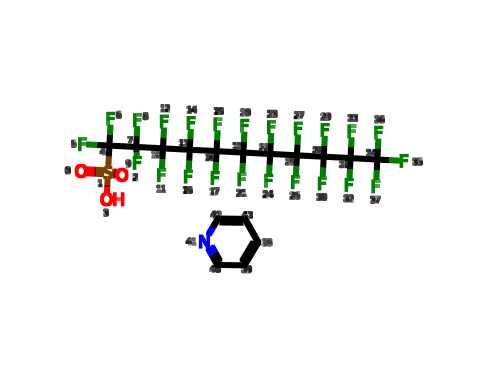 O=S(=O)(O)C(F)(F)C(F)(F)C(F)(F)C(F)(F)C(F)(F)C(F)(F)C(F)(F)C(F)(F)C(F)(F)C(F)(F)C(F)(F)F.c1ccncc1